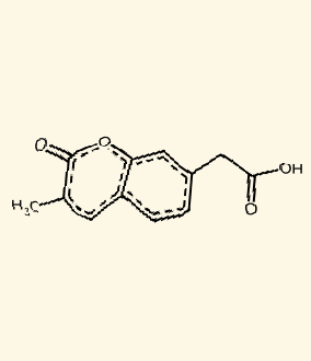 Cc1cc2ccc(CC(=O)O)cc2oc1=O